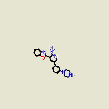 Nc1ncc(-c2cccc(N3CCNCC3)c2)cc1-c1nc2ccccc2o1